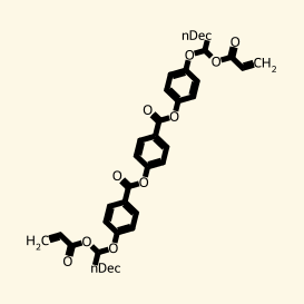 C=CC(=O)OC(CCCCCCCCCC)Oc1ccc(OC(=O)c2ccc(OC(=O)c3ccc(OC(CCCCCCCCCC)OC(=O)C=C)cc3)cc2)cc1